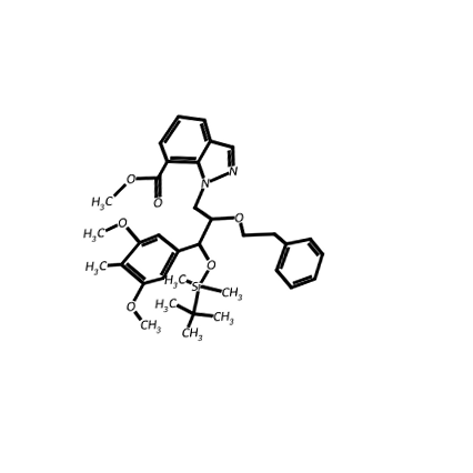 COC(=O)c1cccc2cnn(CC(OCCc3ccccc3)C(O[Si](C)(C)C(C)(C)C)c3cc(OC)c(C)c(OC)c3)c12